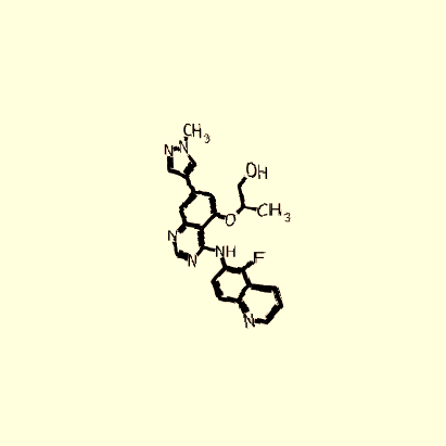 C[C@H](CO)Oc1cc(-c2cnn(C)c2)cc2ncnc(Nc3ccc4ncccc4c3F)c12